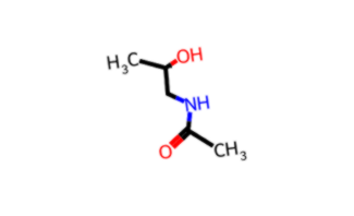 C[C](O)CNC(C)=O